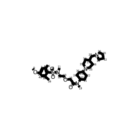 COc1cc(C)c(S(=O)(=O)N(C)CCOCC(=O)N(C)C2CCC(N3CCC(CN4CCCC4)CC3)CC2)c(C)c1